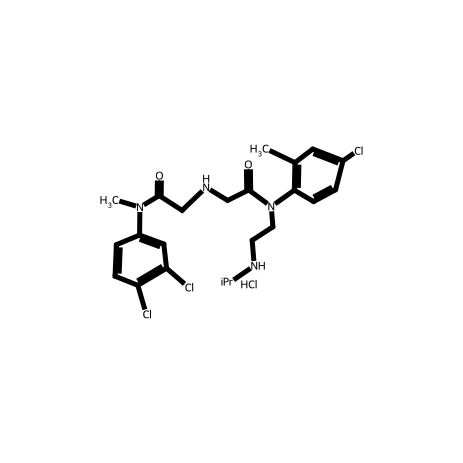 Cc1cc(Cl)ccc1N(CCNC(C)C)C(=O)CNCC(=O)N(C)c1ccc(Cl)c(Cl)c1.Cl